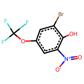 O=[N+]([O-])c1cc(OC(F)(F)F)cc(Br)c1O